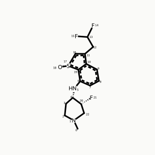 CN1CC[C@H](Nc2cccc3c(CC(F)F)c[s+]([O-])c23)[C@H](F)C1